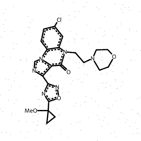 COC1(c2nc(-c3ncn4c3c(=O)n(CCN3CCOCC3)c3cc(Cl)ccc34)no2)CC1